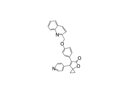 O=C1OC2(CC2)C(c2ccncc2)=C1c1ccc(OCc2ccc3ccccc3n2)cc1